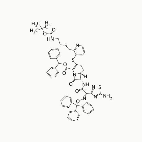 CC(C)(C)OC(=O)NCCSCc1ncccc1SC1=C(C(=O)OC(c2ccccc2)c2ccccc2)N2C(=O)[C@@H](NC(=O)/C(=N\OC(c3ccccc3)(c3ccccc3)c3ccccc3)c3nsc(N)n3)[C@H]2CC1